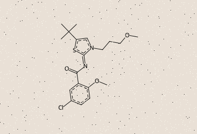 COCCCn1cc(C(C)(C)C)s/c1=N\C(=O)c1cc(Cl)ccc1OC